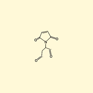 O=[C]CC([C]=O)N1C(=O)C=CC1=O